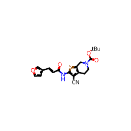 CC(C)(C)OC(=O)N1CCc2c(sc(NC(=O)C=Cc3ccoc3)c2C#N)C1